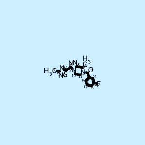 Cc1nsc(-c2nnc3n2CCN(C(=O)c2cccc(F)c2)C3C)n1